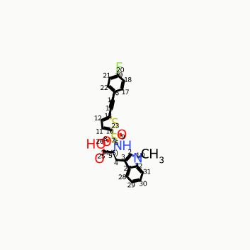 Cn1cc(C[C@H](NS(=O)(=O)c2ccc(C#Cc3ccc(F)cc3)s2)C(=O)O)c2ccccc21